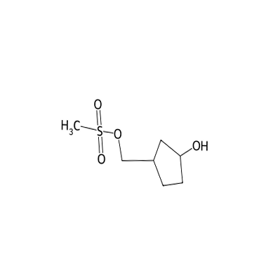 CS(=O)(=O)OCC1CCC(O)C1